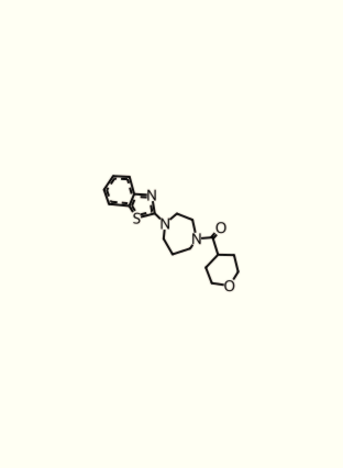 O=C(C1CCOCC1)N1CCCN(c2nc3ccccc3s2)CC1